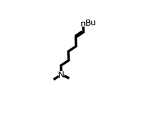 CCCCC=CCCCCN(C)C